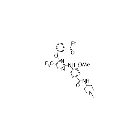 CCC(=O)c1cccc(Oc2nc(Nc3ccc(C(=O)NC4CCN(C)CC4)cc3OC)ncc2C(F)(F)F)c1